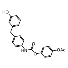 CC(=O)Oc1ccc(OC(=O)Nc2ccc(Cc3cccc(O)c3)cc2)cc1